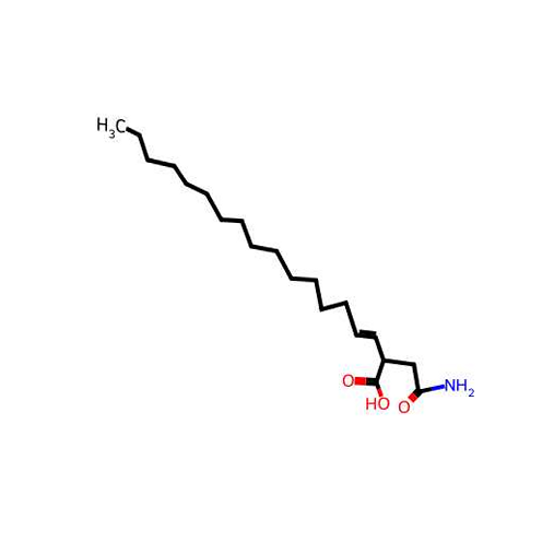 CCCCCCCCCCCCCCC=CC(CC(N)=O)C(=O)O